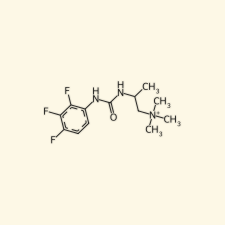 CC(C[N+](C)(C)C)NC(=O)Nc1ccc(F)c(F)c1F